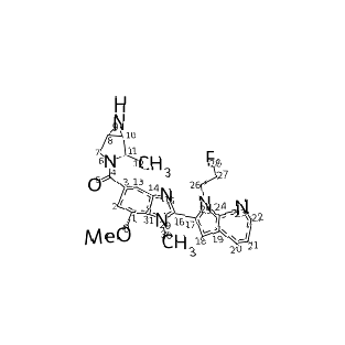 COc1cc(C(=O)N2CC3NC3C2C)cc2nc(-c3cc4cccnc4n3CCF)n(C)c12